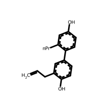 C=CCc1cc(-c2ccc(O)cc2CCC)ccc1O